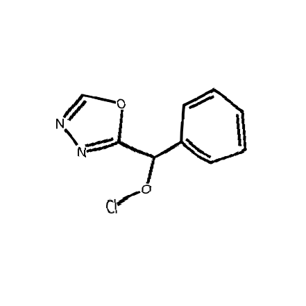 ClOC(c1ccccc1)c1nnco1